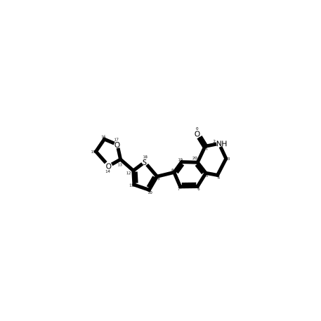 O=C1NCCc2ccc(-c3ccc(C4OCCO4)s3)cc21